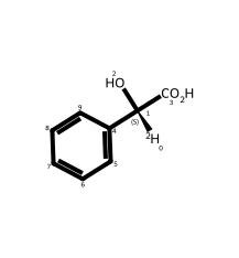 [2H][C@@](O)(C(=O)O)c1ccccc1